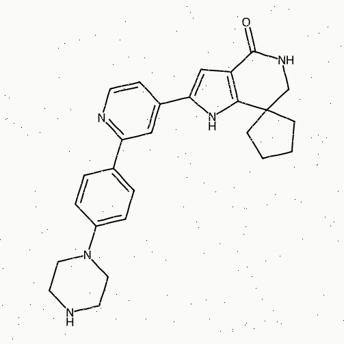 O=C1NCC2(CCCC2)c2[nH]c(-c3ccnc(-c4ccc(N5CCNCC5)cc4)c3)cc21